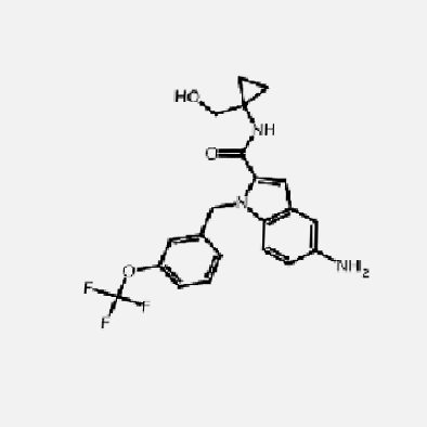 Nc1ccc2c(c1)cc(C(=O)NC1(CO)CC1)n2Cc1cccc(OC(F)(F)F)c1